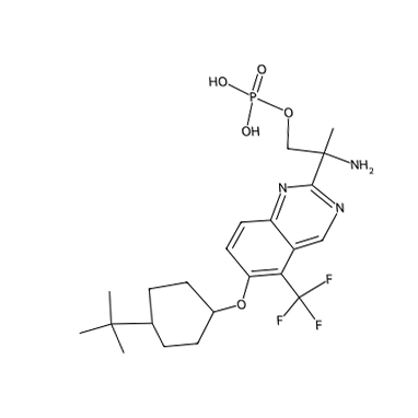 CC(N)(COP(=O)(O)O)c1ncc2c(C(F)(F)F)c(OC3CCC(C(C)(C)C)CC3)ccc2n1